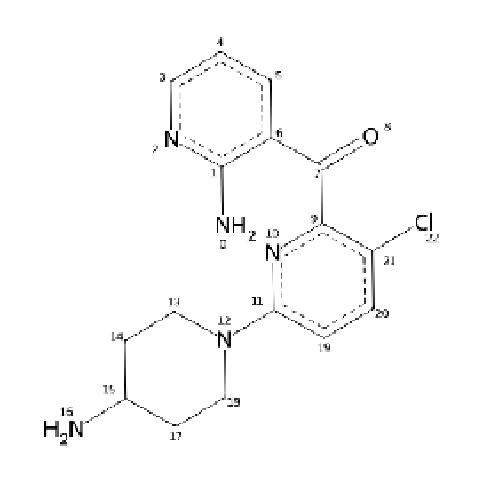 Nc1ncccc1C(=O)c1nc(N2CCC(N)CC2)ccc1Cl